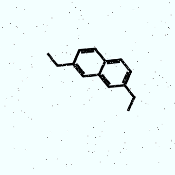 CCc1ccc2ccc(CC)cc2c1